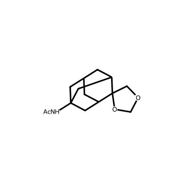 CC(=O)NC12CC3CC(C1)C1(COCO1)C(C3)C2